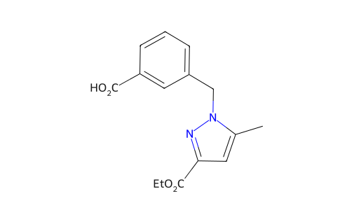 CCOC(=O)c1cc(C)n(Cc2cccc(C(=O)O)c2)n1